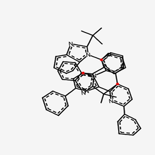 CC(C)(C)c1nc2ccccc2n1-c1ccccc1-c1ccc(-c2ccccc2)nc1-c1nc(-c2ccccc2)ccc1-c1ccccc1-n1c(C(C)(C)C)nc2ccccc21